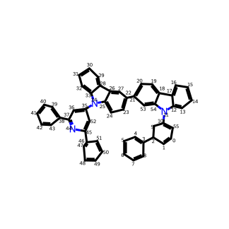 C1=CC(c2ccccc2)CC(n2c3ccccc3c3ccc(-c4ccc5c(c4)c4ccccc4n5-c4cc(-c5ccccc5)nc(-c5ccccc5)c4)cc32)=C1